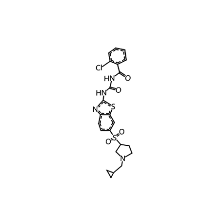 O=C(NC(=O)c1ccccc1Cl)Nc1nc2ccc(S(=O)(=O)C3CCN(CC4CC4)C3)cc2s1